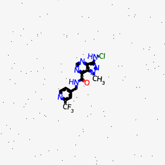 Cn1nc(NCl)c2ncnc(C(=O)NCc3ccnc(C(F)(F)F)c3)c21